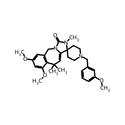 COc1cccc(CN2CCC3(CC2)C2=CC(C)(C)c4c(cc(OC)cc4OC)CN2C(=O)N3C)c1